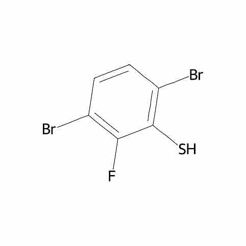 Fc1c(Br)ccc(Br)c1S